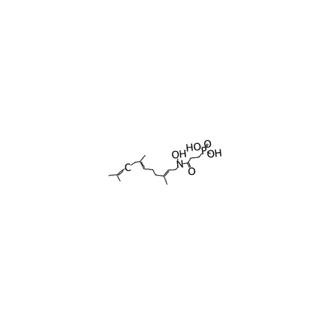 CC(C)=CCCC(C)=CCCC(C)=CCN(O)C(=O)CCP(=O)(O)O